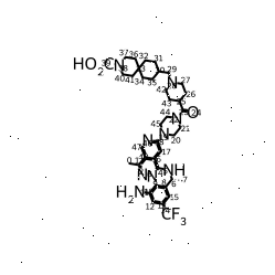 Cc1nnc(N[C@H](C)c2cc(N)cc(C(F)(F)F)c2)c2cc(N3CCN(C(=O)C4CCN(CC5CCC6(CC5)CCN(C(=O)O)CC6)CC4)CC3)ncc12